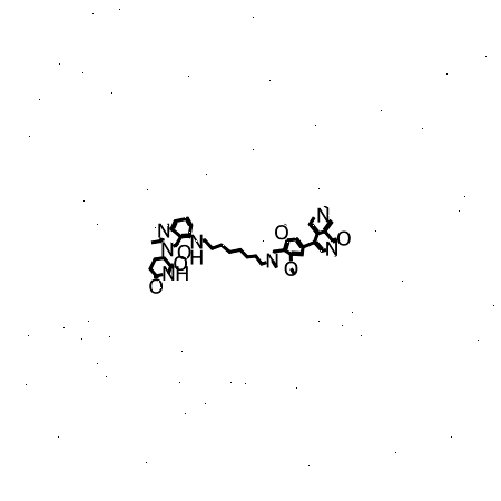 C=N/C=c1/c(=O)n(C)cc(-c2cc(OC)c(CN(C)CCCCCCCCNc3cccc4nc(C)n(C5CCC(=O)NC5=O)c(=O)c34)c(OC)c2)/c1=C/C